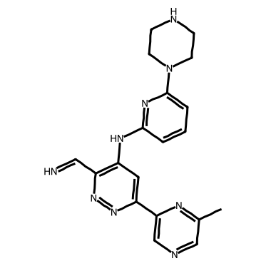 Cc1cncc(-c2cc(Nc3cccc(N4CCNCC4)n3)c(C=N)nn2)n1